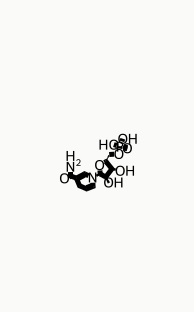 NC(=O)C1=CN([C@H]2O[C@H](COP(=O)(O)O)[C@@H](O)[C@H]2O)C=CC1